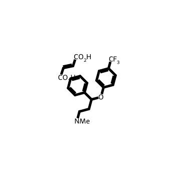 CNCCC(Oc1ccc(C(F)(F)F)cc1)c1ccccc1.O=C(O)C=CC(=O)O